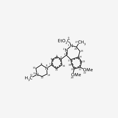 CCOC(=O)N1N=C(c2ccc(N3CCN(C)CC3)cc2)c2cc(OC)c(OC)cc2CC1C